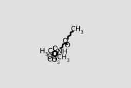 CCCCCCOC(=O)CCCNC1=C(C)C(=O)C(OC)=C(C)C1=O